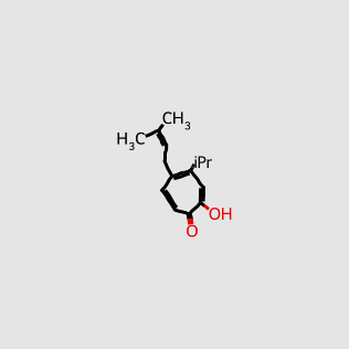 CC(C)=CCc1ccc(=O)c(O)cc1C(C)C